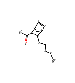 CCC(=O)C1C2C=CC(C2)C1CCCCC(C)=O